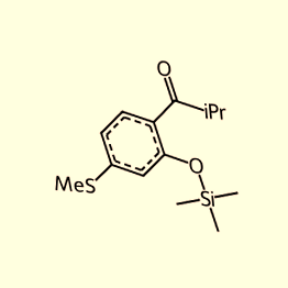 CSc1ccc(C(=O)C(C)C)c(O[Si](C)(C)C)c1